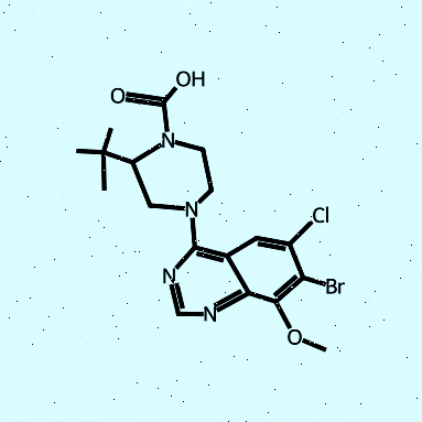 COc1c(Br)c(Cl)cc2c(N3CCN(C(=O)O)C(C(C)(C)C)C3)ncnc12